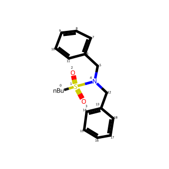 CCCCS(=O)(=O)N(Cc1ccccc1)Cc1ccccc1